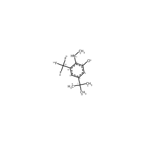 CNc1c(Cl)cc(C(C)(C)C)cc1C(F)(F)F